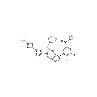 CNC(=O)c1cc(F)c(F)c(-c2cnn3cc(-c4cnn(C5CN(C)C5)c4)c(OC4CCOC4)nc23)c1